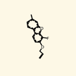 C=CCOc1ccc2c(oc3cc(C)ccc32)c1F